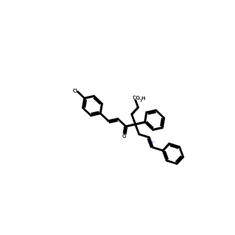 O=C(O)CCC(C/C=C/c1ccccc1)(C(=O)C=Cc1ccc(Cl)cc1)c1ccccc1